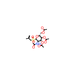 C=C(C)CS(=O)(=O)C1O[C@H](COC(C)=O)[C@@H](OC(C)=O)[C@H](OC(C)=O)[C@H]1NC(C)=O